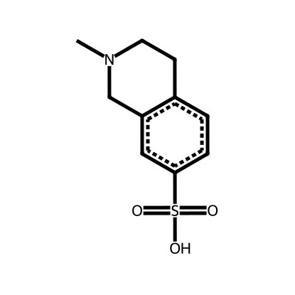 CN1CCc2ccc(S(=O)(=O)O)cc2C1